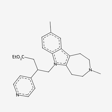 CCOC(=O)CC(Cn1c2c(c3cc(C)ccc31)CCN(C)CC2)c1ccncc1